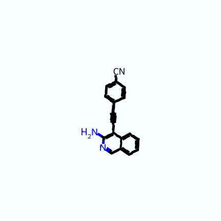 N#Cc1ccc(C#Cc2c(N)ncc3ccccc23)cc1